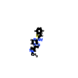 Cn1cc(-c2cnc3c(Nc4cc5ccccc5s4)nccn23)cn1